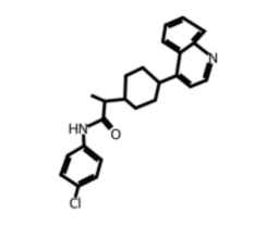 CC(C(=O)Nc1ccc(Cl)cc1)C1CCC(c2ccnc3ccccc23)CC1